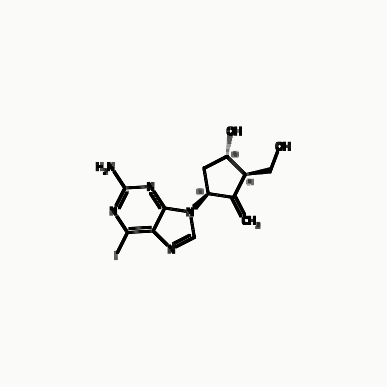 C=C1[C@H](CO)[C@@H](O)C[C@@H]1n1cnc2c(I)nc(N)nc21